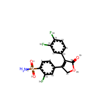 NS(=O)(=O)c1ccc(C2=C(c3ccc(F)c(F)c3)C(=O)OC2)cc1F